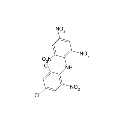 O=[N+]([O-])c1cc([N+](=O)[O-])c(Nc2c(Cl)cc(Cl)cc2[N+](=O)[O-])c([N+](=O)[O-])c1